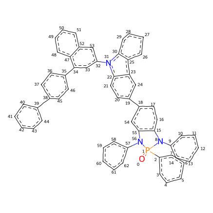 O=P1(c2ccccc2)N(c2ccccc2)c2ccc(-c3ccc4c(c3)c3ccccc3n4-c3cc(-c4ccc(-c5ccccc5)cc4)c4ccccc4c3)cc2N1c1ccccc1